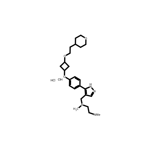 CNCCN(C)Cc1cn[nH]c1-c1ccc(OC2CC(OCCC3CCOCC3)C2)cc1.Cl.Cl